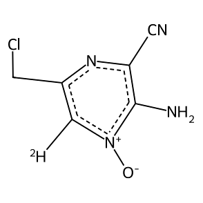 [2H]c1c(CCl)nc(C#N)c(N)[n+]1[O-]